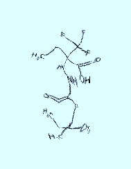 CCC(NNC(=O)OC(C)(C)C)(C(=O)O)C(F)(F)F